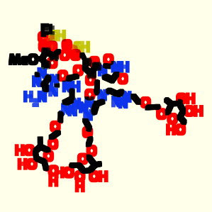 CCOP(=O)(S)O[C@@H]1C(OC)[C@H](n2cnc3c(N)ncnc32)O[C@@H]1COP(=O)(S)OC[C@H]1O[C@@H](n2ccc(=O)[nH]c2=O)[C@@H](OCC(=O)N(Cc2cn(CCOCCOC3OC(CO)C(O)C(O)C3C)nn2)Cc2cn(CCOCCOC3OC(CO)C(O)C(O)C3C)nn2)C1OCC(=O)NCc1cn(CCOCCOC2OC(CO)C(O)C(O)C2C)nn1